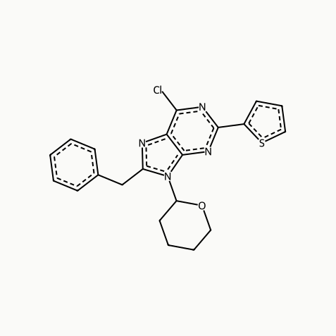 Clc1nc(-c2cccs2)nc2c1nc(Cc1ccccc1)n2C1CCCCO1